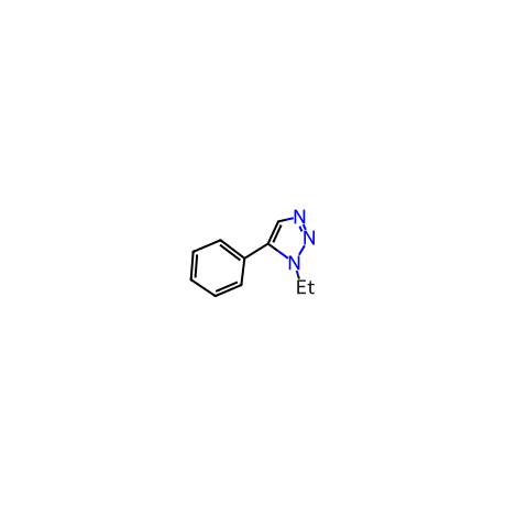 CCn1nncc1-c1ccccc1